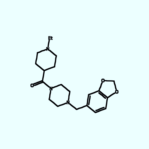 CCN1CCC(C(=O)N2CCN(Cc3ccc4c(c3)OCO4)CC2)CC1